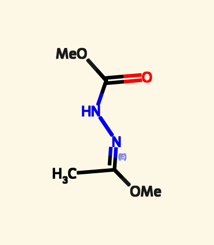 COC(=O)N/N=C(\C)OC